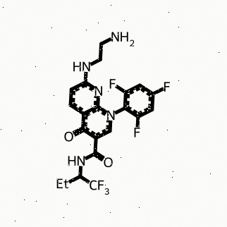 CCC(NC(=O)c1cn(-c2c(F)cc(F)cc2F)c2nc(NCCN)ccc2c1=O)C(F)(F)F